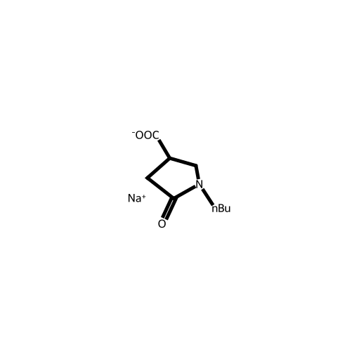 CCCCN1CC(C(=O)[O-])CC1=O.[Na+]